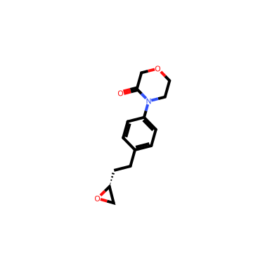 O=C1COCCN1c1ccc(CC[C@@H]2CO2)cc1